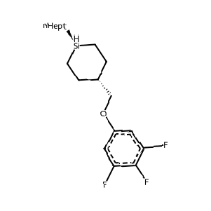 CCCCCCC[Si@H]1CC[C@H](COc2cc(F)c(F)c(F)c2)CC1